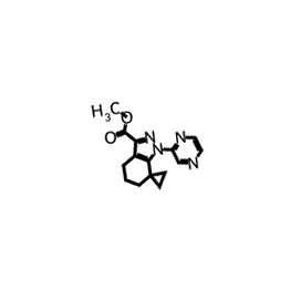 COC(=O)c1nn(-c2cnccn2)c2c1CCCC21CC1